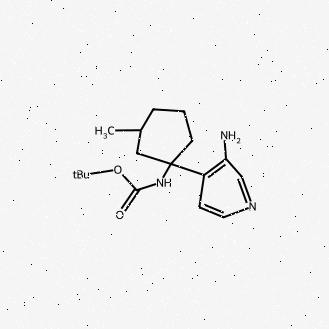 CC1CCCC(NC(=O)OC(C)(C)C)(c2ccncc2N)C1